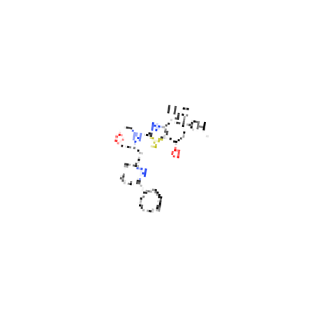 CC1(C)CC(=O)c2sc(N3CCOCC3Cc3cccc(-c4ccccc4)n3)nc2C1